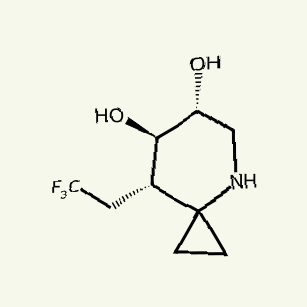 O[C@H]1[C@H](O)CNC2(CC2)[C@@H]1CC(F)(F)F